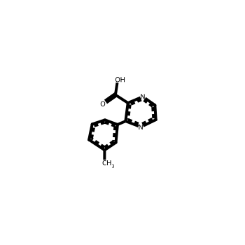 Cc1cccc(-c2nccnc2C(=O)O)c1